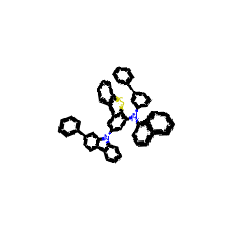 c1ccc(-c2cccc(N(c3cccc4ccccc34)c3cc(-n4c5ccccc5c5ccc(-c6ccccc6)cc54)cc4c3sc3ccccc34)c2)cc1